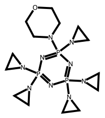 C1CN(P2(N3CC3)=NP(N3CC3)(N3CC3)=NP(N3CC3)(N3CC3)=N2)CCO1